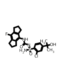 CC(C)(O)c1ccc(S(N)(=O)=NC(=O)Nc2c3c(c(F)c4c2CCC4)CCC3)c(Cl)c1